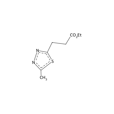 CCOC(=O)CCc1nnc(C)s1